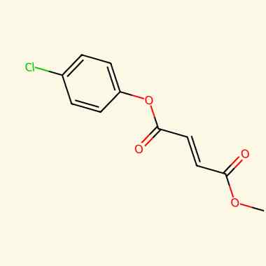 COC(=O)C=CC(=O)Oc1ccc(Cl)cc1